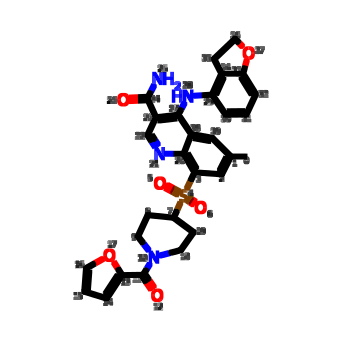 Cc1cc(S(=O)(=O)C2CCN(C(=O)c3ccco3)CC2)c2ncc(C(N)=O)c(Nc3cccc4c3CCO4)c2c1